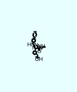 C=CCn1[nH]c2nc(Nc3ccc(N4CCN(C)CC4)cc3)nc(-c3cccc(CC(C)(C)O)c3)c2c1=O